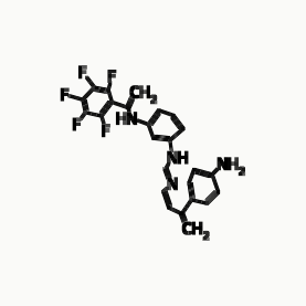 C=C(/C=C\N=C\Nc1cccc(NC(=C)c2c(F)c(F)c(F)c(F)c2F)c1)c1ccc(N)cc1